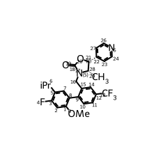 COc1cc(F)c(C(C)C)cc1-c1ccc(C(F)(F)F)cc1CN1C(=O)O[C@H](c2ccncc2)[C@@H]1C